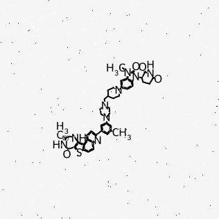 Cc1cc(-c2ccc3c(ccc4sc5c(c43)NC[C@@H](C)NC5=O)n2)cc(N2CCN(CC3CCN(c4ccc5c(c4)n(C)c(=O)n5C4CCC(=O)NC4=O)CC3)CC2)c1